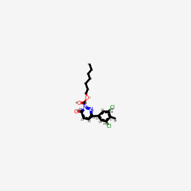 CCCCCCCOC(=O)n1nc(-c2cc(Cl)c(C)c(Cl)c2)ccc1=O